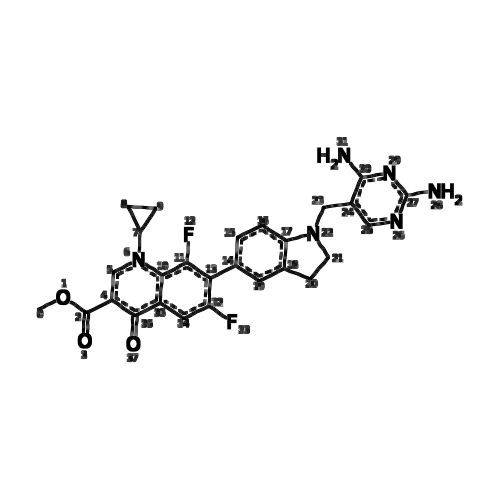 COC(=O)c1cn(C2CC2)c2c(F)c(-c3ccc4c(c3)CCN4Cc3cnc(N)nc3N)c(F)cc2c1=O